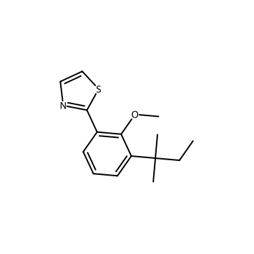 CCC(C)(C)c1cccc(-c2nccs2)c1OC